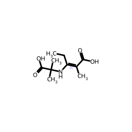 CC/C(NC(C)(C)C(=O)O)=C(/C)C(=O)O